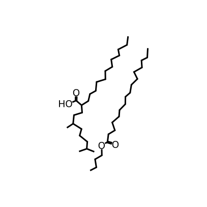 CCCCCCCCCCCCC(CCC(C)CCCC(C)C)C(=O)O.CCCCCCCCCCCCCCCC(=O)OCCCC